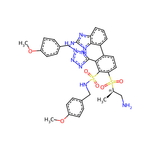 COc1ccc(CNS(=O)(=O)c2c(S(=O)(=O)[C@H](C)CN)ccc(-c3cccc4nc(N)[nH]c34)c2-c2nnn(Cc3ccc(OC)cc3)n2)cc1